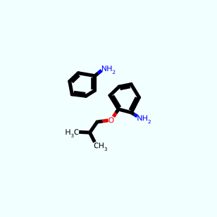 CC(C)COc1ccccc1N.Nc1ccccc1